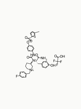 Cc1ccc(S(=O)(=O)Oc2ccc(NC(=O)/[N+](=C3\CCC[N+](C)(Cc4ccc(F)cc4)C3)[C@@H](Cc3ccc(O)cc3)C(N)=O)cc2)s1.O=C(O)C(F)(F)F